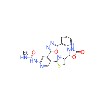 CCNC(=O)Nc1cc(-c2nnc(-c3ccccc3)o2)c(-c2nc(-c3n[nH]c(=O)o3)cs2)cn1